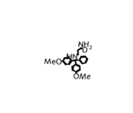 COc1ccc(C(NCCC(N)=O)(c2ccccc2)c2ccc(OC)cc2)cc1